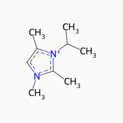 Cc1cn(C)c(C)[n+]1C(C)C